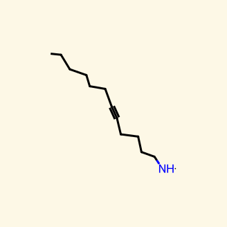 CCCCCCC#CCCCC[NH]